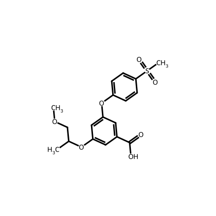 COCC(C)Oc1cc(Oc2ccc(S(C)(=O)=O)cc2)cc(C(=O)O)c1